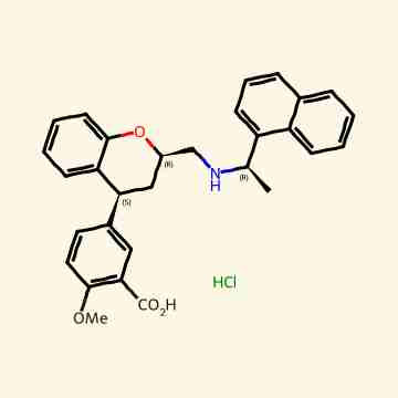 COc1ccc([C@@H]2C[C@H](CN[C@H](C)c3cccc4ccccc34)Oc3ccccc32)cc1C(=O)O.Cl